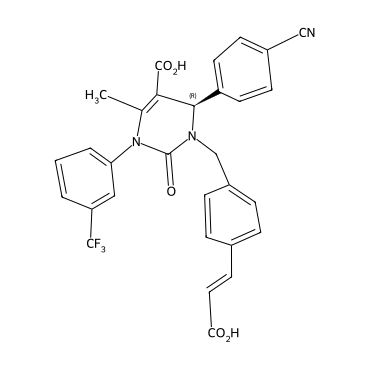 CC1=C(C(=O)O)[C@@H](c2ccc(C#N)cc2)N(Cc2ccc(C=CC(=O)O)cc2)C(=O)N1c1cccc(C(F)(F)F)c1